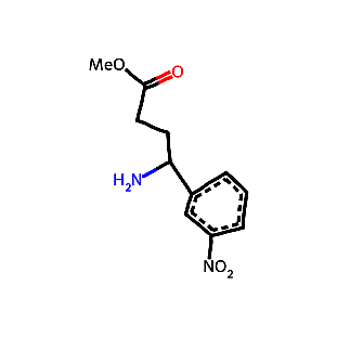 COC(=O)CCC(N)c1cccc([N+](=O)[O-])c1